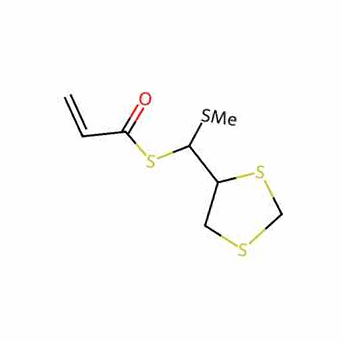 C=CC(=O)SC(SC)C1CSCS1